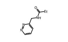 CCC(=O)NCc1cccnn1